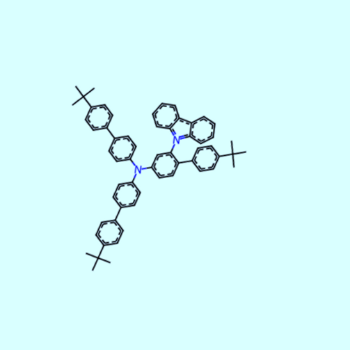 CC(C)(C)c1ccc(-c2ccc(N(c3ccc(-c4ccc(C(C)(C)C)cc4)cc3)c3ccc(-c4ccc(C(C)(C)C)cc4)c(-n4c5ccccc5c5ccccc54)c3)cc2)cc1